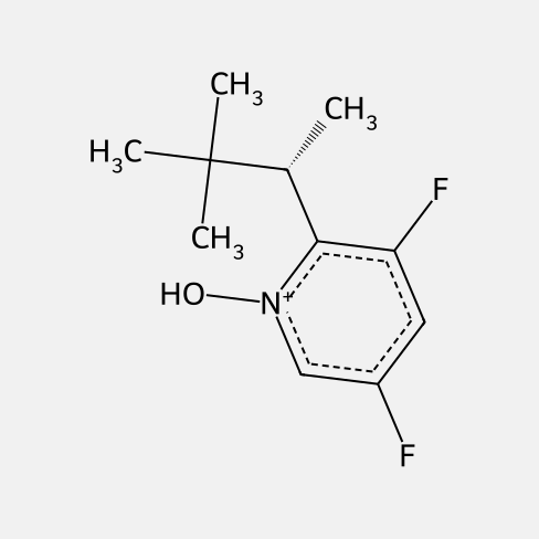 C[C@H](c1c(F)cc(F)c[n+]1O)C(C)(C)C